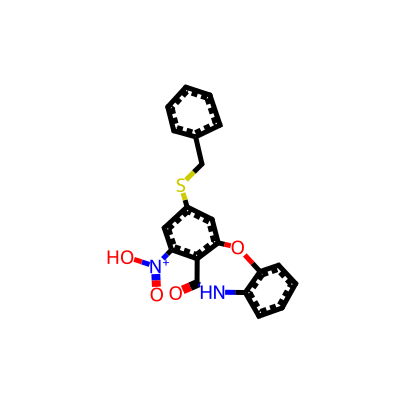 O=C1Nc2ccccc2Oc2cc(SCc3ccccc3)cc([N+](=O)O)c21